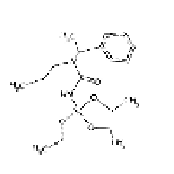 CCCN(C(=O)N[Si](OCC)(OCC)OCC)C(C)c1ccccc1